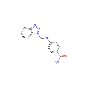 NC(=O)c1ccc(NCn2cnc3ccccc32)cc1